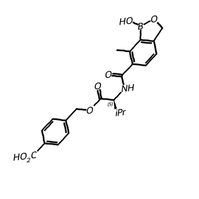 Cc1c(C(=O)N[C@H](C(=O)OCc2ccc(C(=O)O)cc2)C(C)C)ccc2c1B(O)OC2